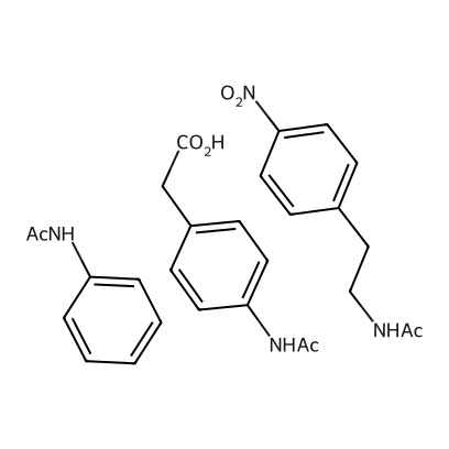 CC(=O)NCCc1ccc([N+](=O)[O-])cc1.CC(=O)Nc1ccc(CC(=O)O)cc1.CC(=O)Nc1ccccc1